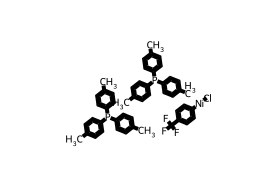 Cc1ccc(P(c2ccc(C)cc2)c2ccc(C)cc2)cc1.Cc1ccc(P(c2ccc(C)cc2)c2ccc(C)cc2)cc1.FC(F)(F)c1cc[c]([Ni][Cl])cc1